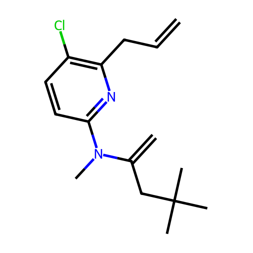 C=CCc1nc(N(C)C(=C)CC(C)(C)C)ccc1Cl